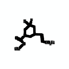 CCOC(=O)C=CC1CN(C(=O)OC(C)(C)C)CC(F)(F)C1